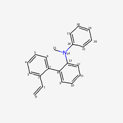 C=Cc1ccccc1-c1ccccc1N(C)c1ccccc1